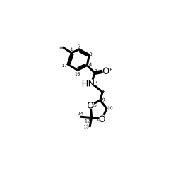 Cc1ccc(C(=O)NCC2COC(C)(C)O2)cc1